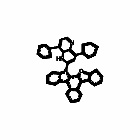 C1=NC2=C(c3ccccc3)C=C(n3c4ccccc4c4c5ccccc5c5c6ccccc6oc5c43)NC2C(c2ccccc2)=C1